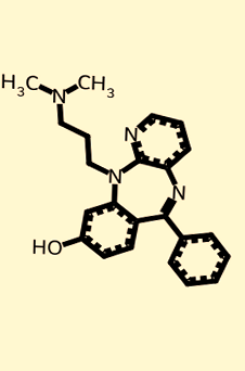 CN(C)CCCN1c2cc(O)ccc2C(c2ccccc2)=Nc2cccnc21